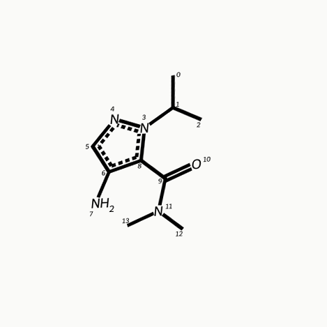 CC(C)n1ncc(N)c1C(=O)N(C)C